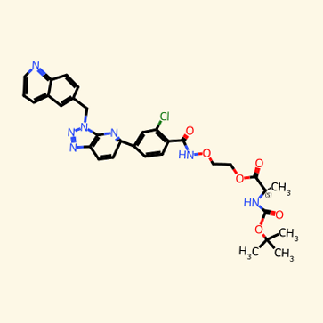 C[C@H](NC(=O)OC(C)(C)C)C(=O)OCCONC(=O)c1ccc(-c2ccc3nnn(Cc4ccc5ncccc5c4)c3n2)cc1Cl